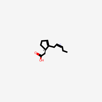 CC/C=C\CC1=CCC[C@@H]1CC(=O)O